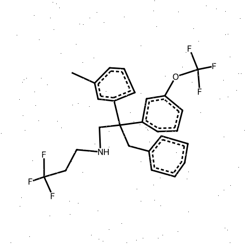 Cc1cccc(C(CNCCC(F)(F)F)(Cc2ccccc2)c2cccc(OC(F)(F)F)c2)c1